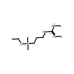 CCO[Si](C)(C)CCCNC(=NC)NC